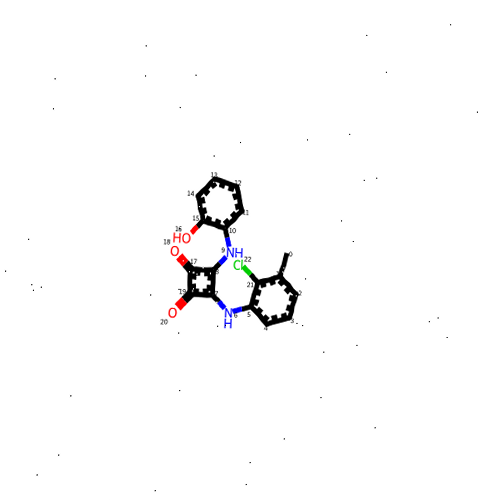 Cc1cccc(Nc2c(Nc3ccccc3O)c(=O)c2=O)c1Cl